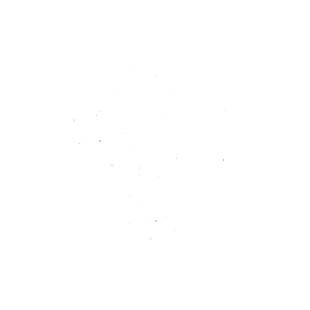 C[Si]1(C2[C]([Ti+2]3([C]4=Cc5ccccc5C4[Si]4(C)CCC4)[CH2][CH2]3)=Cc3ccccc32)CCC1.[Cl-].[Cl-]